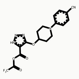 N#Cc1ccc(N2CCC(Oc3nn[nH]c3C(=O)OC(=O)C(F)(F)F)CC2)cc1